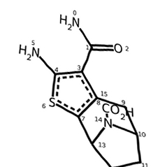 NC(=O)c1c(N)sc2c1CC1CCC2N1C(=O)O